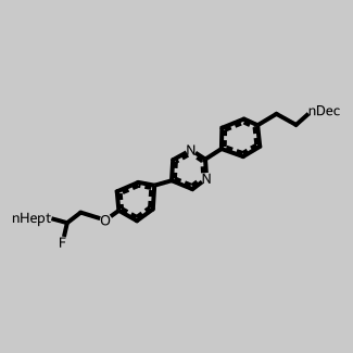 CCCCCCCCCCCCc1ccc(-c2ncc(-c3ccc(OCC(F)CCCCCCC)cc3)cn2)cc1